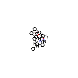 C=C/C=c1/oc2cccc(-c3nc(-c4ccccc4)nc(-c4ccccc4)n3)c2/c1=C/N(c1ccc2c(c1)C1(c3ccccc3-c3ccccc31)c1ccccc1-2)c1ccccc1-c1ccccc1